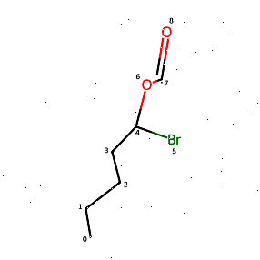 CCCCC(Br)O[C]=O